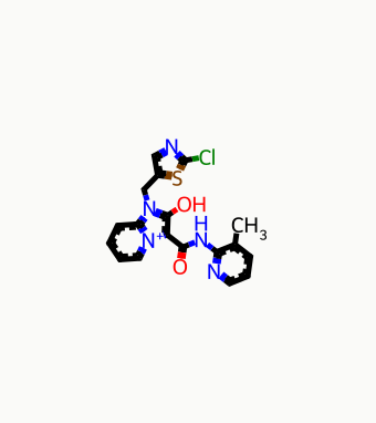 Cc1cccnc1NC(=O)c1c(O)n(Cc2cnc(Cl)s2)c2cccc[n+]12